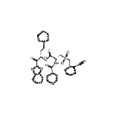 N#Cc1ccccc1CS(=O)(=O)C[C@H](NC(=O)c1ccncc1)C(=O)N[C@@H](CCc1ccccc1)C(=O)c1nc2ccccc2o1